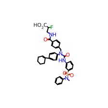 CN(c1ccccc1)S(=O)(=O)c1cccc(NC(=O)N(Cc2ccc(C(=O)NCC(F)C(=O)O)cc2)c2ccc(C3=CCCCC3)cc2)c1